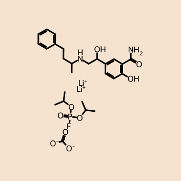 CC(C)OP(=O)(F)OC(C)C.CC(CCc1ccccc1)NCC(O)c1ccc(O)c(C(N)=O)c1.O=C([O-])[O-].[Li+].[Li+]